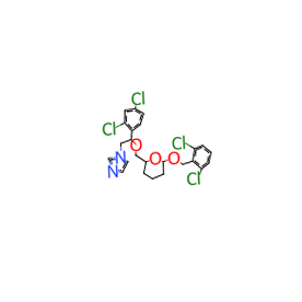 Clc1ccc(C(Cn2ccnc2)OCC2CCCC(OCc3c(Cl)cccc3Cl)O2)c(Cl)c1